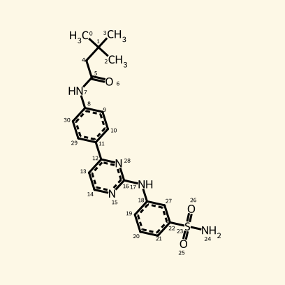 CC(C)(C)CC(=O)Nc1ccc(-c2ccnc(Nc3cccc(S(N)(=O)=O)c3)n2)cc1